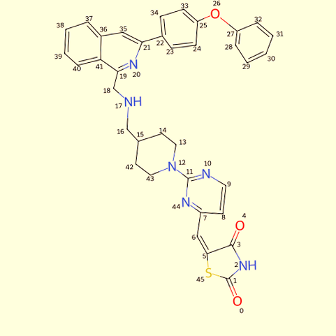 O=C1NC(=O)/C(=C\c2ccnc(N3CCC(CNCc4nc(-c5ccc(Oc6ccccc6)cc5)cc5ccccc45)CC3)n2)S1